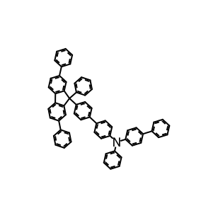 c1ccc(-c2ccc(N(c3ccccc3)c3ccc(-c4ccc(C5(c6ccccc6)c6cc(-c7ccccc7)ccc6-c6ccc(-c7ccccc7)cc65)cc4)cc3)cc2)cc1